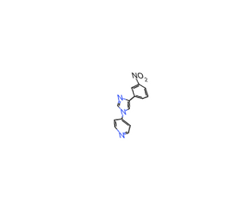 O=[N+]([O-])c1cccc(-c2cn(-c3ccncc3)cn2)c1